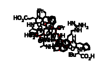 CC[C@H](C)[C@H](NC(=O)[C@H](Cc1ccccc1)NC(=O)[C@H](CCCNC(=N)N)NC(=O)[C@@H]1CCCN1C(=O)[C@H](Cc1ccccc1)NC(=O)[C@@H](NC(=O)[C@H](Cc1ccccc1)NC(=O)[C@@H](NC(=O)[C@H](CC(C)C)NC(=O)[C@H](CCC(=O)O)NC(=O)[C@H](CC(C)C)NC(=O)CNC(=O)[C@H](Cc1c[nH]c2ccccc12)NC(=O)[C@H](CCC(=O)O)NC(=O)[C@H](C)N)[C@@H](C)CC)C(C)C)C(=O)O